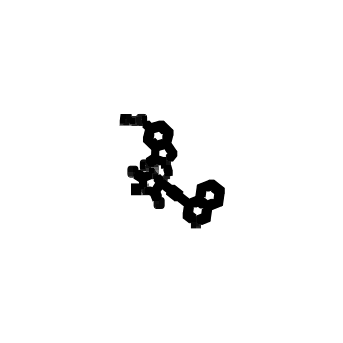 COc1ccc2c(c1)C(=O)N(C[C@@]1(C#Cc3cncc4ccccc34)NC(=O)NC1=O)C2